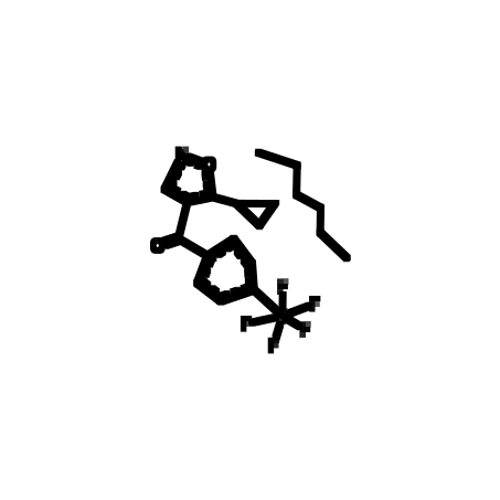 CCCCCC.O=C(c1ccc(S(F)(F)(F)(F)F)cc1)c1cnoc1C1CC1